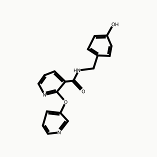 O=C(NCc1ccc(O)cc1)c1cccnc1Oc1cccnc1